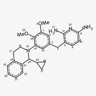 COc1cc(Cc2cnc(N)nc2N)cc(N2CCc3ccccc3C2C2CC2)c1OC